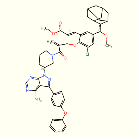 C=C(COc1c(Cl)cc(C(OC)=C2C3CC4CC(C3)CC2C4)cc1/C=C/C(=O)OC)C(=O)N1CCC[C@@H](n2nc(-c3ccc(Oc4ccccc4)cc3)c3c(N)ncnc32)C1